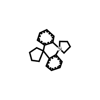 c1ccc2c(c1)C1(CCCC1)c1ccccc1[Si]21CCCC1